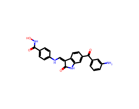 Nc1cccc(C(=O)c2ccc3c(c2)NC(=O)C3=CNc2ccc(C(=O)NO)cc2)c1